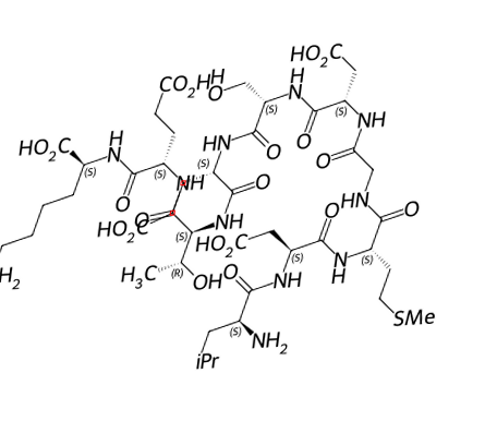 CSCC[C@H](NC(=O)[C@H](CC(=O)O)NC(=O)[C@@H](N)CC(C)C)C(=O)NCC(=O)N[C@@H](CC(=O)O)C(=O)N[C@@H](CO)C(=O)N[C@@H](CCC(=O)O)C(=O)N[C@H](C(=O)N[C@@H](CCC(=O)O)C(=O)N[C@@H](CCCCN)C(=O)O)[C@@H](C)O